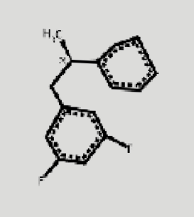 C[C@H](Cc1cc(F)cc(F)c1)c1ccccc1